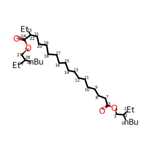 CCCCC(CC)COC(=O)CCCCCCCCCCCCCCCC(CC)C(=O)OCC(CC)CCCC